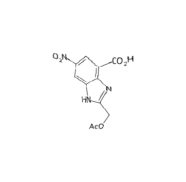 CC(=O)OCc1nc2c(C(=O)O)cc([N+](=O)[O-])cc2[nH]1